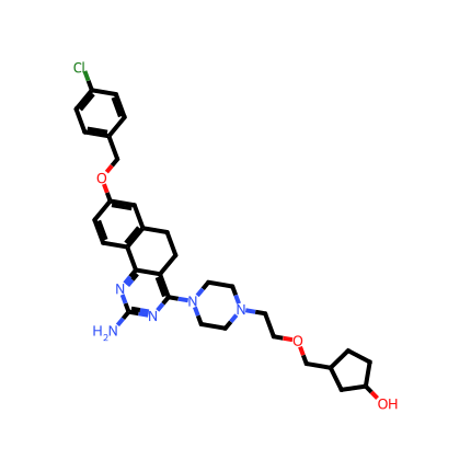 Nc1nc2c(c(N3CCN(CCOCC4CCC(O)C4)CC3)n1)CCc1cc(OCc3ccc(Cl)cc3)ccc1-2